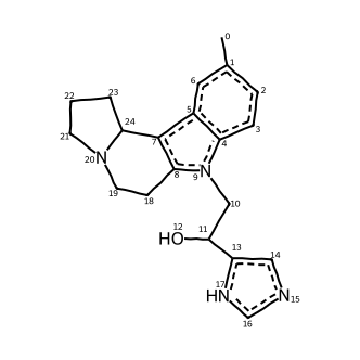 Cc1ccc2c(c1)c1c(n2CC(O)c2cnc[nH]2)CCN2CCCC12